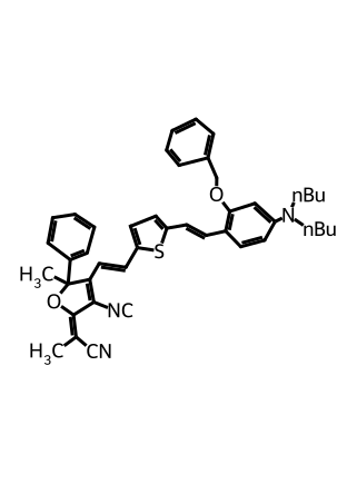 [C-]#[N+]C1=C(/C=C/c2ccc(/C=C/c3ccc(N(CCCC)CCCC)cc3OCc3ccccc3)s2)C(C)(c2ccccc2)O/C1=C(\C)C#N